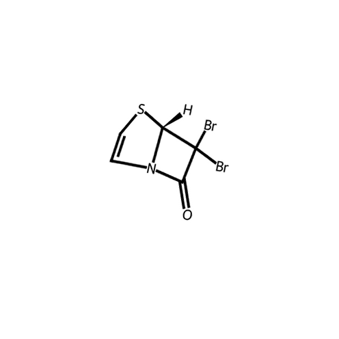 O=C1N2C=CS[C@@H]2C1(Br)Br